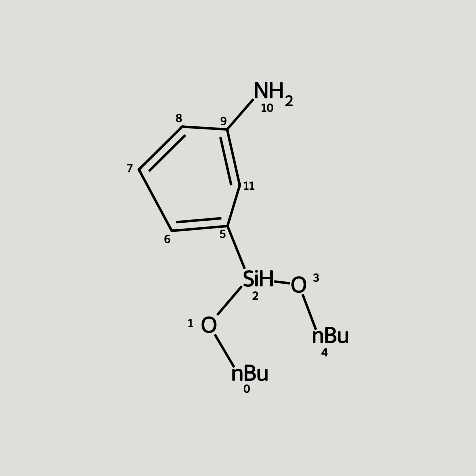 CCCCO[SiH](OCCCC)c1cccc(N)c1